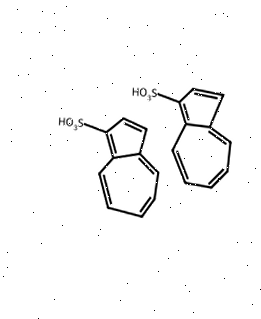 O=S(=O)(O)c1ccc2cccccc1-2.O=S(=O)(O)c1ccc2cccccc1-2